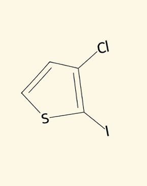 Clc1ccsc1I